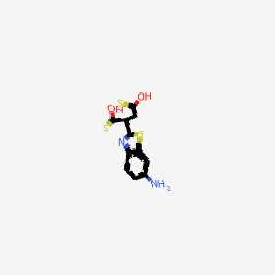 Nc1ccc2nc(C(CC(O)=S)C(O)=S)sc2c1